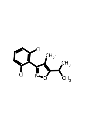 [CH2]c1c(-c2c(Cl)cccc2Cl)noc1C(C)C